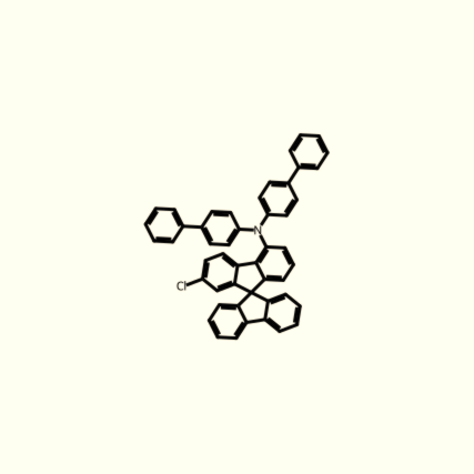 Clc1ccc2c(c1)C1(c3ccccc3-c3ccccc31)c1cccc(N(c3ccc(-c4ccccc4)cc3)c3ccc(-c4ccccc4)cc3)c1-2